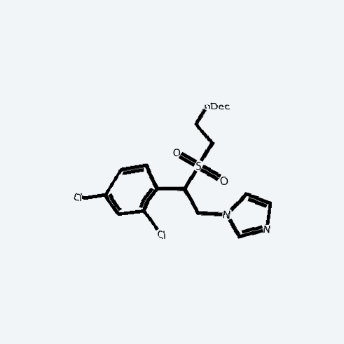 CCCCCCCCCCCCS(=O)(=O)C(Cn1ccnc1)c1ccc(Cl)cc1Cl